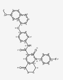 COc1ccc2nccc(Oc3ccc(NC(=O)c4cc5c(n(-c6ccc(F)cc6)c4=O)CCCC5=O)nc3)c2c1